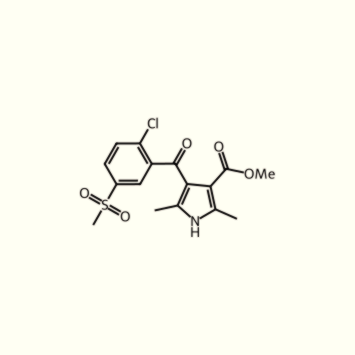 COC(=O)c1c(C)[nH]c(C)c1C(=O)c1cc(S(C)(=O)=O)ccc1Cl